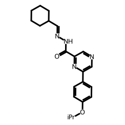 CC(C)Oc1ccc(-c2cncc(C(=O)N/N=C/C3CCCCC3)n2)cc1